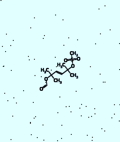 CC(C)(/C=C/C(C)(C)OS(C)(=O)=O)OC=O